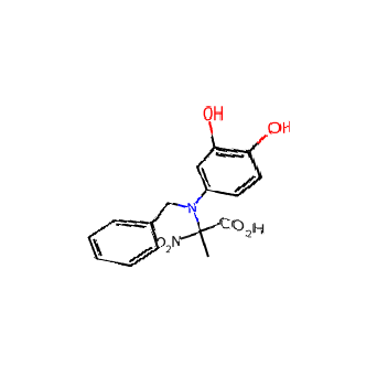 CC(C(=O)O)(N(Cc1ccccc1)c1ccc(O)c(O)c1)[N+](=O)[O-]